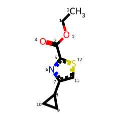 CCOC(=O)c1nc(C2CC2)cs1